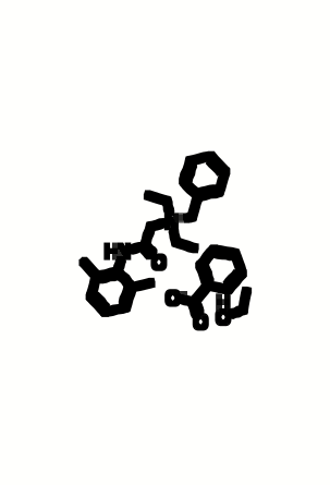 CCO.CC[N+](CC)(CC(=O)Nc1c(C)cccc1C)Cc1ccccc1.O=C([O-])c1ccccc1